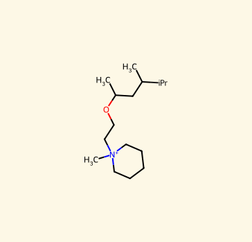 CC(CC(C)C(C)C)OCC[N+]1(C)CCCCC1